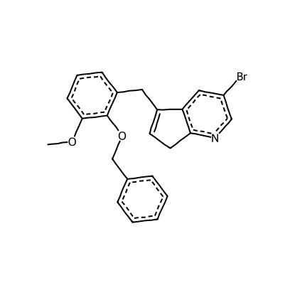 COc1cccc(CC2=CCc3ncc(Br)cc32)c1OCc1ccccc1